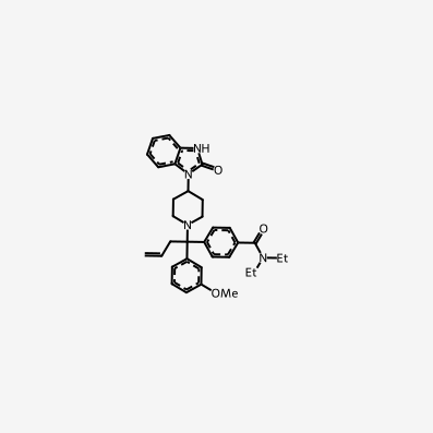 C=CCC(c1ccc(C(=O)N(CC)CC)cc1)(c1cccc(OC)c1)N1CCC(n2c(=O)[nH]c3ccccc32)CC1